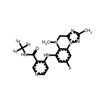 [2H]C([2H])([2H])NC(=O)c1cnccc1Nc1cc(F)cc2c1N(C)Cc1nc(C)nn1-2